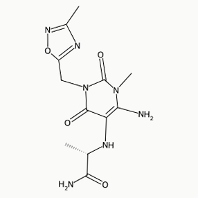 Cc1noc(Cn2c(=O)c(N[C@@H](C)C(N)=O)c(N)n(C)c2=O)n1